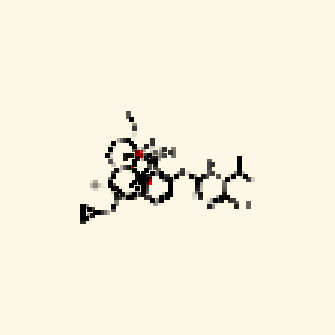 CO[C@@]12CC[C@@]3(C[C@@H]1[C@@](C)(O)C(C)(C)C)[C@H]1Cc4ccc(OC(=O)N[C@@H](C(=O)O)C(C)C)c5c4[C@@]3(CCN1CC1CC1)[C@H]2O5